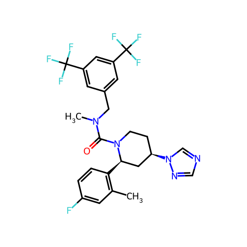 Cc1cc(F)ccc1[C@@H]1C[C@H](n2cncn2)CCN1C(=O)N(C)Cc1cc(C(F)(F)F)cc(C(F)(F)F)c1